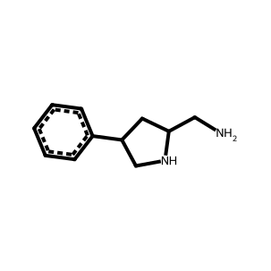 NCC1CC(c2ccccc2)CN1